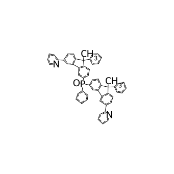 CC1(c2ccccc2)c2ccc(-c3ccccn3)cc2-c2cc(P(=O)(c3ccccc3)c3ccc4c(c3)-c3cc(-c5ccccn5)ccc3C4(C)c3ccccc3)ccc21